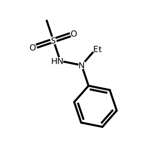 CCN(NS(C)(=O)=O)c1ccccc1